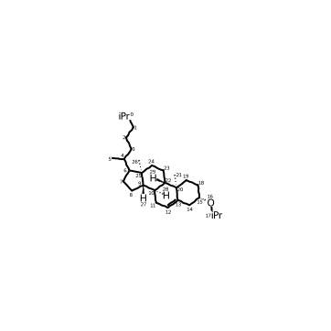 CC(C)CCCC(C)C1CC[C@H]2[C@@H]3CC=C4C[C@@H](OC(C)C)CC[C@]4(C)[C@H]3CC[C@]12C